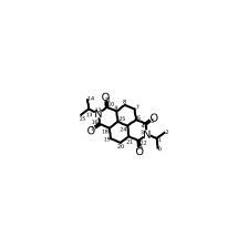 CC(C)N1C(=O)C2CCC3C(=O)N(C(C)C)C(=O)C4CCC(C1=O)C2C34